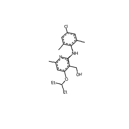 CCC(CC)Oc1cc(C)nc(Nc2c(C)cc(Cl)cc2C)c1CO